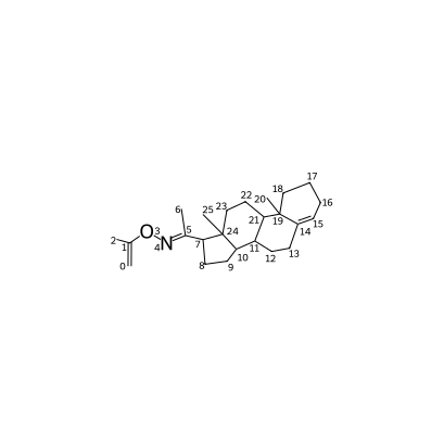 C=C(C)O/N=C(\C)C1CCC2C3CCC4=CCCCC4(C)C3CCC12C